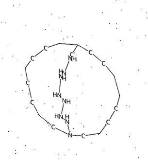 C1CCCCN2CCCCCCCCC(CCC1)CNNNNNNN2